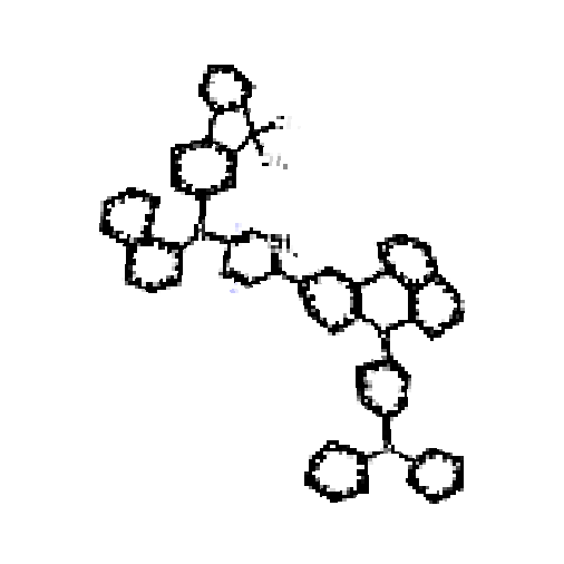 C=C(/C=C\C(=C/C)N(c1ccc2c(c1)C(C)(C)c1ccccc1-2)c1cccc2ccccc12)c1ccc2c(c1)-c1cccc3cccc(c13)N2c1ccc(N(c2ccccc2)c2ccccc2)cc1